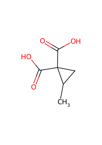 CC1CC1(C(=O)O)C(=O)O